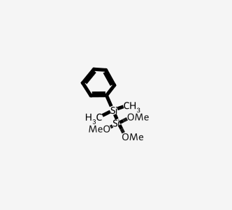 CO[Si](OC)(OC)[Si](C)(C)c1ccccc1